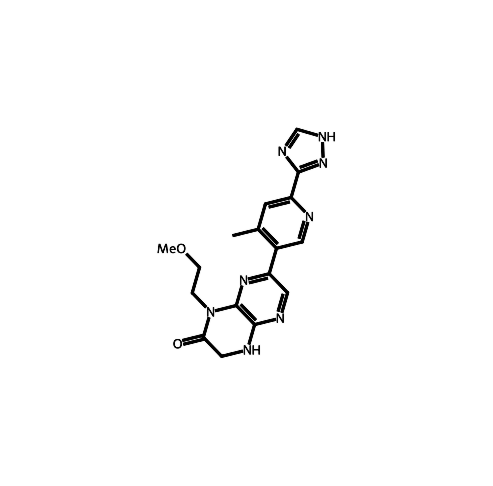 COCCN1C(=O)CNc2ncc(-c3cnc(-c4nc[nH]n4)cc3C)nc21